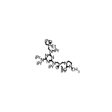 CCP(=O)(CC(C)C)CN(c1nc(N(CP(=O)(CC(C)C)CN2CCN(C)C2=O)C(C)C)nc(N(C(C)C)C(C)C)n1)C(C)C